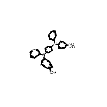 Oc1ccc(N(c2ccccc2)c2ccc(N(c3ccccc3)c3ccc(O)cc3)cc2)cc1